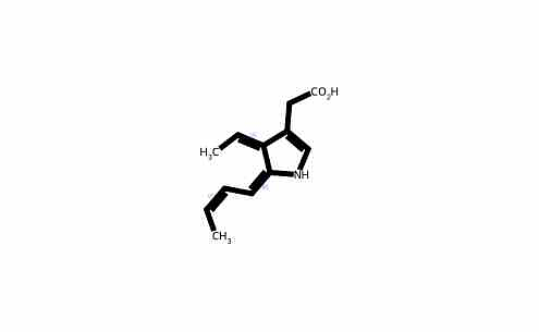 C\C=C/C=c1/[nH]cc(CC(=O)O)/c1=C/C